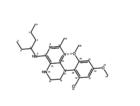 CCCC(CC)Nc1nc(C)nc2c1NCCN2c1c(Cl)cc(OC)cc1OC